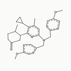 COc1ccc(CN(Cc2ccc(OC)cc2)c2cc(C)c(C3CC3)c(C3CC(=O)CCC3C)n2)cc1